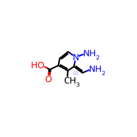 CC1=C(C(=O)O)C=CN(N)/C1=C\N